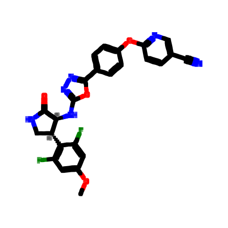 COc1cc(F)c([C@@H]2CNC(=O)[C@H]2Nc2nnc(-c3ccc(Oc4ccc(C#N)cn4)cc3)o2)c(F)c1